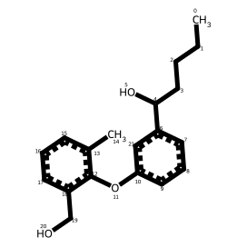 CCCCC(O)c1cccc(Oc2c(C)cccc2CO)c1